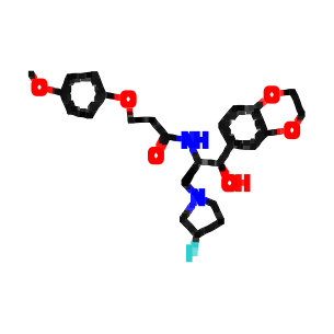 COc1ccc(OCCC(=O)N[C@H](CN2CC[C@@H](F)C2)[C@H](O)c2ccc3c(c2)OCCO3)cc1